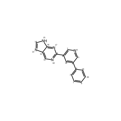 c1ccc(-c2cncc(-c3ncc4nc[nH]c4n3)c2)cc1